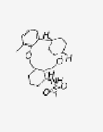 Cc1cccc2c1OCC1CCC[C@H](NS(C)(=O)=O)[C@@H]1CO[C@H]1CC[C@@H]2CC1